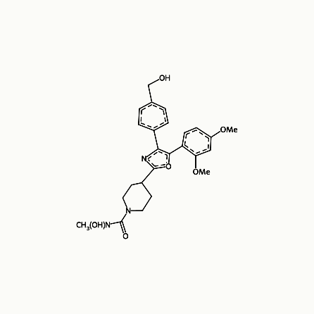 COc1ccc(-c2oc(C3CCN(C(=O)N(C)O)CC3)nc2-c2ccc(CO)cc2)c(OC)c1